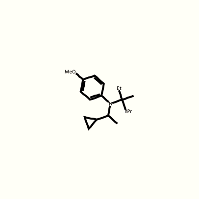 CCCC(C)(CC)N(c1ccc(OC)cc1)C(C)C1CC1